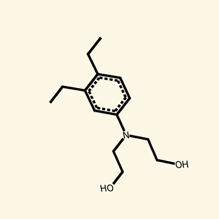 CCc1ccc(N(CCO)CCO)cc1CC